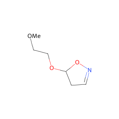 [CH2]OCCOC1CC=NO1